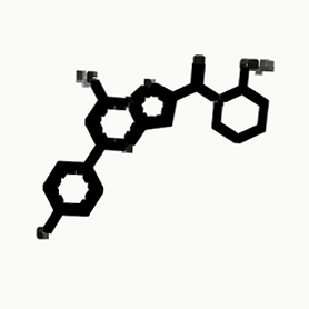 CCOC(=O)C1CCCCN1C(=O)c1cc2nc(-c3ccc(Cl)cc3)cc(C(F)(F)F)n2n1